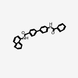 O=C(Nc1ccc(-c2ccc(C(=O)Nc3cccc4ccccc34)cc2)cc1)c1ccccc1